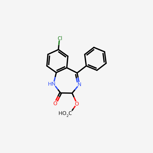 O=C(O)OC1N=C(c2ccccc2)c2cc(Cl)ccc2NC1=O